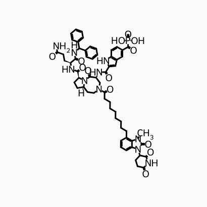 Cn1c(=O)n(C2CCC(=O)NC2=O)c2cccc(CCCCCCCCC(=O)N3CC[C@H]4CC[C@@H](C(=O)N[C@@H](CCC(N)=O)C(=O)NC(c5ccccc5)c5ccccc5)N4C(=O)[C@@H](NC(=O)c4cc5cc(C(=O)P(=O)(O)O)ccc5[nH]4)C3)c21